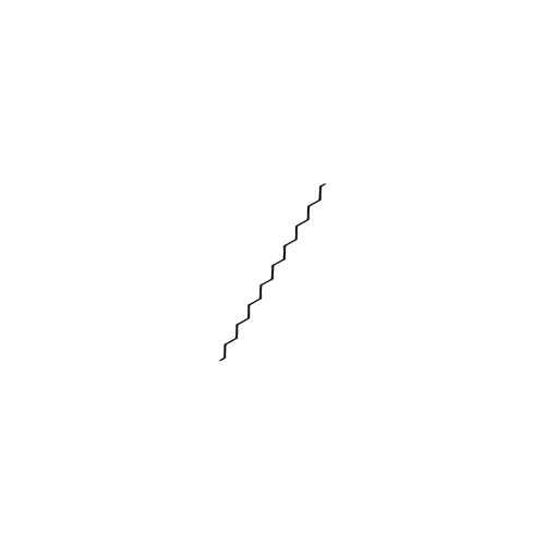 OC[CH]CCCCCCCCCCCCCCCCO